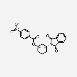 O=C(O[C@@H]1CCC[C@@H](N2C(=O)c3ccccc3C2=O)C1)c1ccc([N+](=O)[O-])cc1